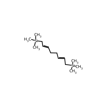 C[Si](C)(C)CC=CCCC=CC[Si](C)(C)C